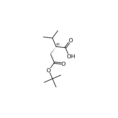 CC(C)[C@@H](CC(=O)OC(C)(C)C)C(=O)O